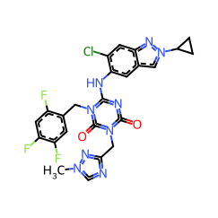 Cn1cnc(Cn2c(=O)nc(Nc3cc4cn(C5CC5)nc4cc3Cl)n(Cc3cc(F)c(F)cc3F)c2=O)n1